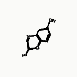 Oc1ccc2c(c1)N=CC(O)O2